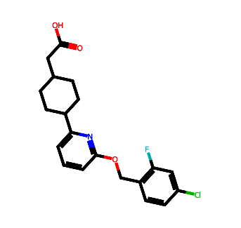 O=C(O)CC1CCC(c2cccc(OCc3ccc(Cl)cc3F)n2)CC1